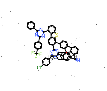 CC1CC2CC(C)C3(c4ccccc4-c4ccc(-c5c(-c6nc(-c7ccc(Cl)cc7)nc(-c7ccc(C#N)cc7)n6)ccc6c5sc5cccc(-c7nc(-c8ccccc8)nc(-c8ccc(C(F)(F)F)cc8)n7)c56)cc43)C(C1)C2